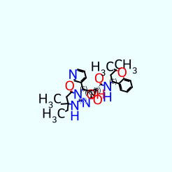 CCC1(CC)CC(=O)N([C@H](c2cccnc2)[C@@H]2C[C@H]2C(=O)N[C@H]2CC(C)(C)Oc3ccccc32)/C(=N\C(=O)O)N1